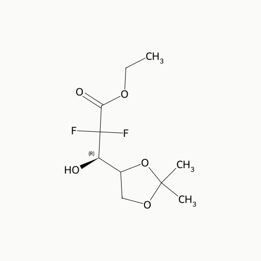 CCOC(=O)C(F)(F)[C@H](O)C1COC(C)(C)O1